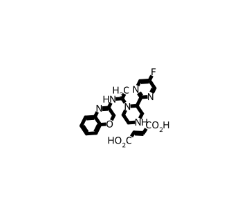 CC(NC1=Nc2ccccc2OC1)N1CCNCC1c1ncc(F)cn1.O=C(O)C=CC(=O)O